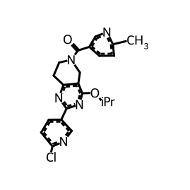 Cc1ccc(C(=O)N2CCc3nc(-c4ccc(Cl)nc4)nc(OC(C)C)c3C2)cn1